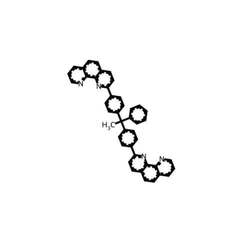 CC(c1ccccc1)(c1ccc(-c2ccc3ccc4cccnc4c3n2)cc1)c1ccc(-c2ccc3ccc4cccnc4c3n2)cc1